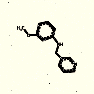 COc1cccc(NCc2cccnc2)c1